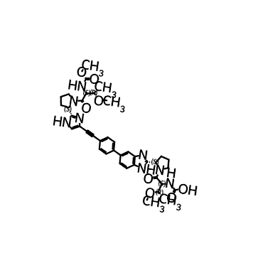 COC(=O)N[C@H](C(=O)N1CCC[C@H]1c1nc(C#Cc2ccc(-c3ccc4[nH]c([C@@H]5CCCN5C(=O)[C@@H](NC(=O)O)[C@@H](C)OC)nc4c3)cc2)c[nH]1)[C@@H](C)OC